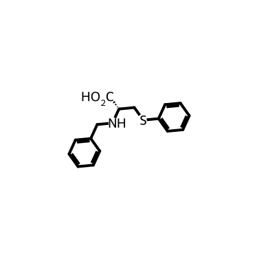 O=C(O)[C@H](CSc1ccccc1)NCc1ccccc1